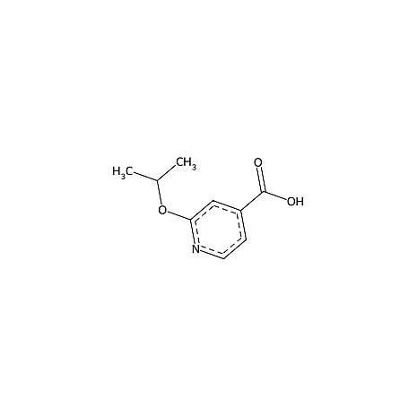 CC(C)Oc1cc(C(=O)O)ccn1